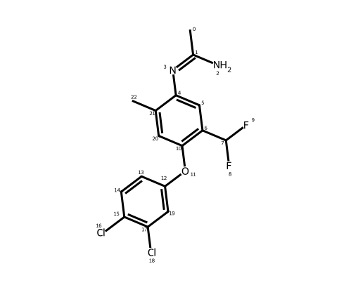 C/C(N)=N/c1cc(C(F)F)c(Oc2ccc(Cl)c(Cl)c2)cc1C